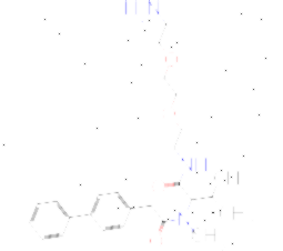 CC(C)C(C(=O)NCCOCCOCCN)N(C)C(=O)Cc1ccc(-c2ccccc2)cc1